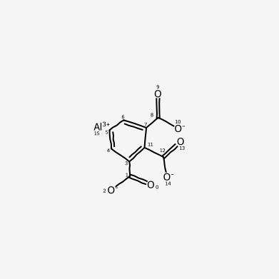 O=C([O-])c1cccc(C(=O)[O-])c1C(=O)[O-].[Al+3]